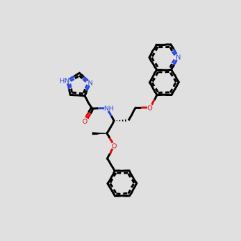 C[C@H](OCc1ccccc1)[C@@H](CCOc1ccc2ncccc2c1)NC(=O)c1c[nH]cn1